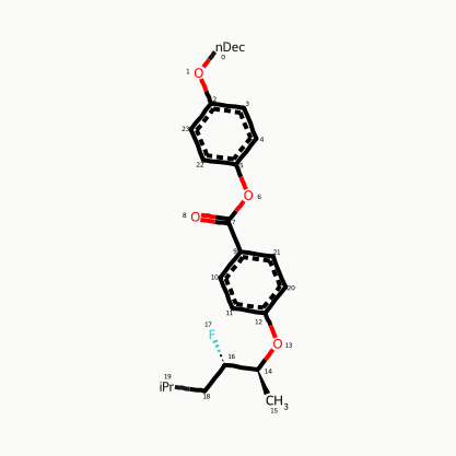 CCCCCCCCCCOc1ccc(OC(=O)c2ccc(O[C@@H](C)[C@@H](F)CC(C)C)cc2)cc1